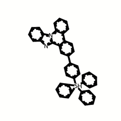 c1ccc([SH]2(c3ccccc3)(c3ccc(-c4ccc5c6ccccc6n6c7ccccc7nc6c5c4)cc3)c3ccccc32)cc1